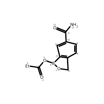 CCC(=O)OB1OCc2ccc(C(N)=O)cc21